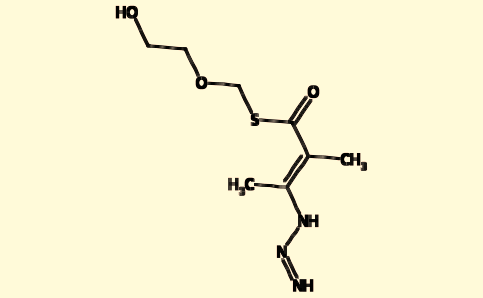 C/C(NN=N)=C(/C)C(=O)SCOCCO